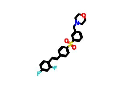 O=S(=O)(c1ccc(/C=C/c2ccc(F)cc2F)cc1)c1cccc(CN2CCOCC2)c1